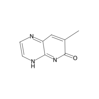 Cc1cc2ncc[nH]c-2nc1=O